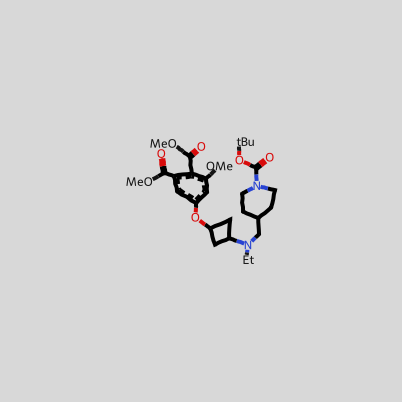 CCN(CC1CCN(C(=O)OC(C)(C)C)CC1)C1CC(Oc2cc(OC)c(C(=O)OC)c(C(=O)OC)c2)C1